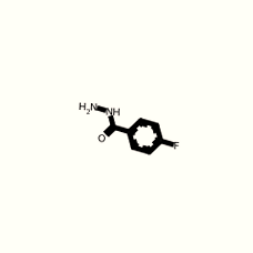 NNC(=O)c1[c]cc(F)cc1